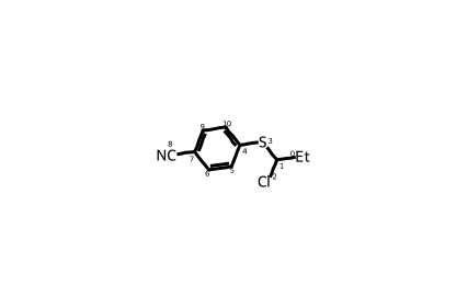 CCC(Cl)Sc1ccc(C#N)cc1